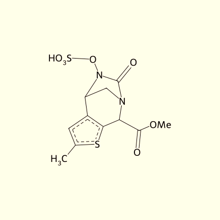 COC(=O)C1c2sc(C)cc2C2CN1C(=O)N2OS(=O)(=O)O